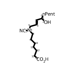 CCCCCC(O)C=CCN(C#N)CCCCCCC(=O)O